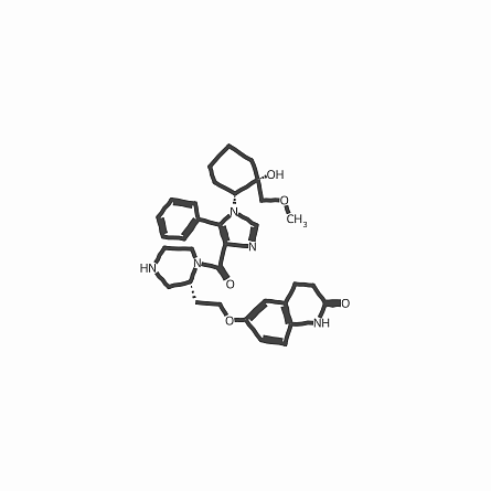 COC[C@]1(O)CCCC[C@H]1n1cnc(C(=O)N2CCNC[C@H]2CCOc2ccc3c(c2)CCC(=O)N3)c1-c1ccccc1